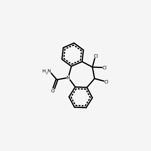 NC(=O)N1c2ccccc2C(Cl)C(Cl)(Cl)c2ccccc21